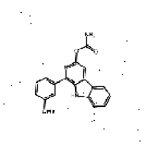 COc1cccc(-c2nc(OC(N)=O)cc3c2[nH]c2ccccc23)c1